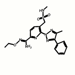 CCO/N=C(\N)c1ccc(CS(=O)(=O)NC)c(-n2nc(C)c(-c3ccccc3)n2)n1